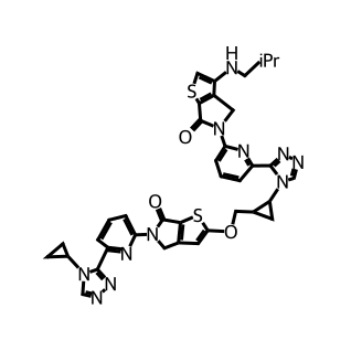 CC(C)CNc1csc2c1CN(c1cccc(-c3nncn3C3CC3COc3cc4c(s3)C(=O)N(c3cccc(-c5nncn5C5CC5)n3)C4)n1)C2=O